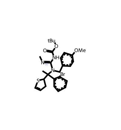 C/N=C(\NC(=O)OC(C)(C)C)N(Cc1ccc(OC)cc1)C(C)(c1ccccc1Br)C1CC=CS1